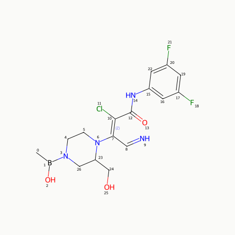 CB(O)N1CCN(/C(C=N)=C(\Cl)C(=O)Nc2cc(F)cc(F)c2)C(CO)C1